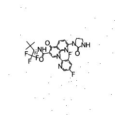 CC(C)(C)[C@H](NC(=O)c1cn(-c2ncc(F)cc2F)c2nc(N3CCNC3=O)ccc2c1=O)C(F)(F)F